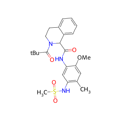 COc1cc(C)c(NS(C)(=O)=O)cc1NC(=O)C1c2ccccc2CCN1C(=O)C(C)(C)C